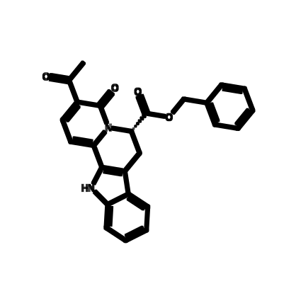 CC(=O)c1ccc2n(c1=O)[C@H](C(=O)OCc1ccccc1)Cc1c-2[nH]c2ccccc12